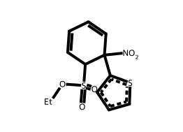 CCOS(=O)(=O)C1C=CC=CC1(c1cccs1)[N+](=O)[O-]